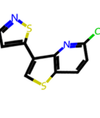 Clc1ccc2scc(-c3ccns3)c2n1